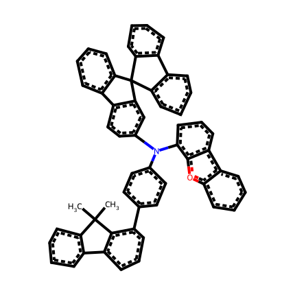 CC1(C)c2ccccc2-c2cccc(-c3ccc(N(c4ccc5c(c4)C4(c6ccccc6-c6ccccc64)c4ccccc4-5)c4cccc5c4oc4ccccc45)cc3)c21